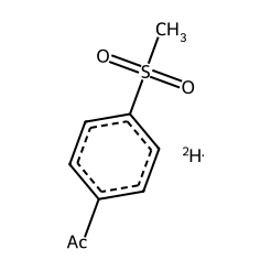 CC(=O)c1ccc(S(C)(=O)=O)cc1.[2H]